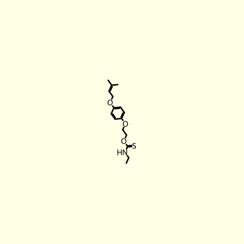 CCNC(=S)OCCOc1ccc(OCC=C(C)C)cc1